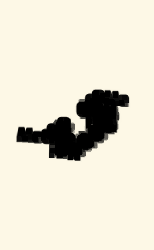 COC(=O)N[C@H](C(=O)N1CCCC1c1ncc(-c2ccc(-c3ccc(-c4cnc([C@@H]5CCCN5C(=O)[C@@H](NC(=O)OC)C5CCOCC5)[nH]4)cc3)cc2)[nH]1)C1CCOCC1